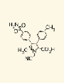 Cc1ccc(C2=C(C(=O)O)N(CC#N)N(C)C2c2ccc(S(N)(=O)=O)cc2)cc1